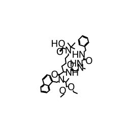 CCOC(OCC)C(C)N(Cc1cccc2ccccc12)C(=O)C(CCCCN(C(=O)O)C(C)(C)C)NC(=O)CN(C)NC(=O)NCc1ccccc1